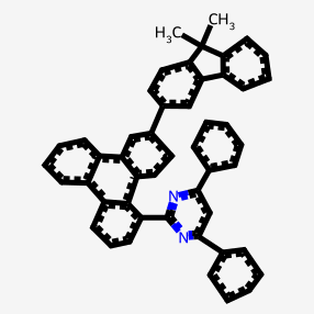 CC1(C)c2ccccc2-c2cc(-c3ccc4c(c3)c3ccccc3c3cccc(-c5nc(-c6ccccc6)cc(-c6ccccc6)n5)c34)ccc21